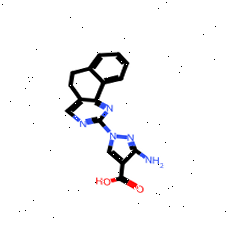 Nc1nn(-c2ncc3c(n2)-c2ccccc2CC3)cc1C(=O)O